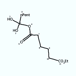 CCCCCC(O)(O)OC(=O)CCCCC(=O)OCC